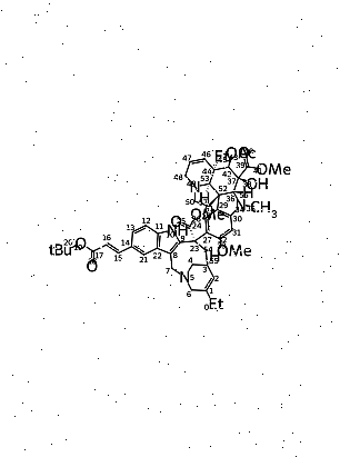 CCC1=C[C@H]2CN(C1)Cc1c([nH]c3ccc(/C=C/C(=O)OC(C)(C)C)cc13)[C@@](C(=O)OC)(c1cc3c(cc1OC)N(C)[C@H]1[C@@](O)(C(=O)OC)[C@H](OC(C)=O)[C@]4(CC)C=CCN5CC[C@]31[C@@H]54)C2